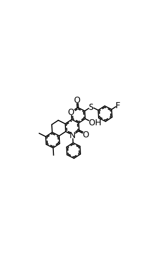 Cc1cc(C)c2c(c1)-c1c(c3oc(=O)c(Sc4cccc(F)c4)c(O)c3c(=O)n1-c1ccccc1)CC2